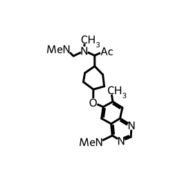 CNCN(C)C(C(C)=O)C1CCC(Oc2cc3c(NC)ncnc3cc2C)CC1